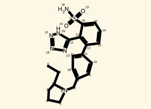 CCC1CCCN1Cc1ccc(-c2cccc(S(N)(=O)=O)c2-c2nnn[nH]2)cc1